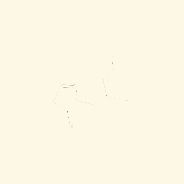 CCCCCCCCCCCCC(CCCCCCCCCC)Cn1nnnc1N